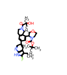 CCc1c(F)[nH]c2ncc(-c3cc4c(c(C5COCCN5C(=O)OC(C)(C)C)c3)CN(C(=O)C(C)(C)O)CC4)cc12